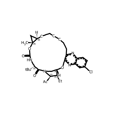 CC[C@@H]1[C@@H]2CN(C(=O)[C@H](C(C)(C)C)NC(=O)O[C@]3(C)C[C@H]3CCCCCCc3nc4ccc(Cl)cc4nc3O2)[C@@H]1C(C)=O